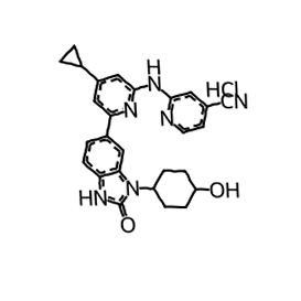 Cl.N#Cc1ccnc(Nc2cc(C3CC3)cc(-c3ccc4[nH]c(=O)n(C5CCC(O)CC5)c4c3)n2)c1